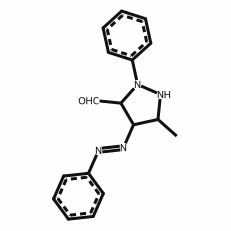 CC1NN(c2ccccc2)C(C=O)C1N=Nc1ccccc1